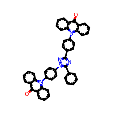 O=c1c2ccccc2n(-c2ccc(-c3nc(-c4ccccc4)n(-c4ccc(-n5c6ccccc6c(=O)c6ccccc65)cc4)n3)cc2)c2ccccc12